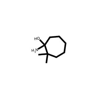 CC1(C)CCCCCC1(N)O